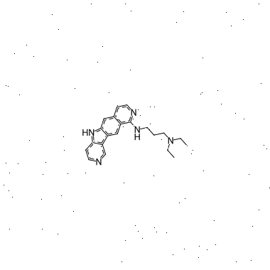 CCN(CC)CCCNc1nccc2cc3[nH]c4ccncc4c3cc12